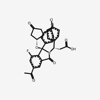 CC(=O)c1cc(F)c2c(c1)C(=O)N([C@@H](CC(=O)O)c1ccc(Cl)cc1)[C@@]2(O[C@H]1CCC(=O)C1)c1ccc(Cl)cc1